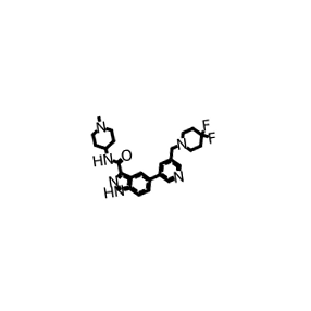 CN1CCC(NC(=O)c2n[nH]c3ccc(-c4cncc(CN5CCC(F)(F)CC5)c4)cc23)CC1